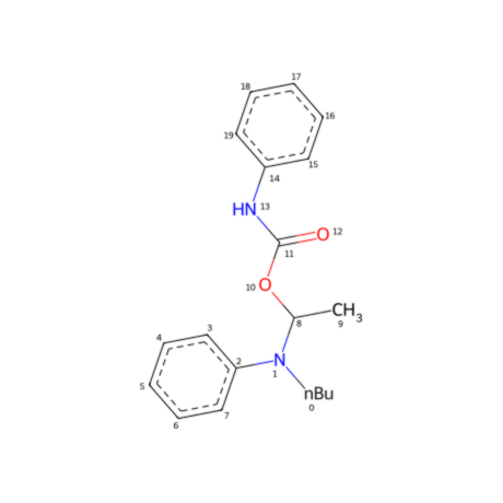 CCCCN(c1ccccc1)C(C)OC(=O)Nc1ccccc1